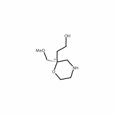 COC[C@]1(CCO)CNCCO1